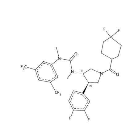 CN(C(=O)N(C)[C@@H]1CN(C(=O)C2CCC(F)(F)CC2)C[C@H]1c1ccc(F)c(F)c1)c1cc(C(F)(F)F)cc(C(F)(F)F)c1